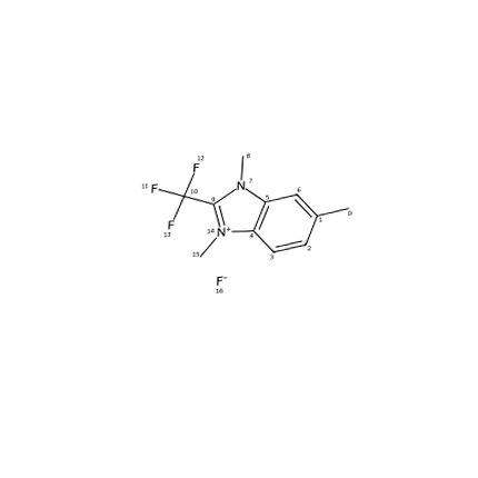 Cc1ccc2c(c1)n(C)c(C(F)(F)F)[n+]2C.[F-]